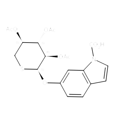 CC(=O)O[C@@H]1[C@@H](OC(C)=O)[C@@H](Oc2ccc3ccn(C(=O)O)c3c2)SC[C@H]1OC(C)=O